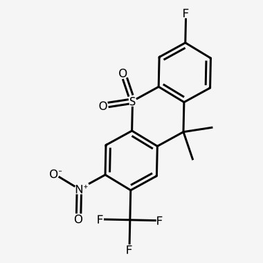 CC1(C)c2ccc(F)cc2S(=O)(=O)c2cc([N+](=O)[O-])c(C(F)(F)F)cc21